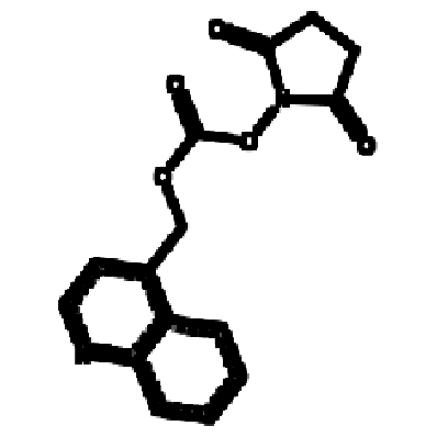 O=C(OCc1ccnc2ccccc12)ON1C(=O)CCC1=O